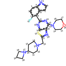 Fc1ccc2[nH]ccc2c1-c1nc(N2CCOCC2)c2nc(CN3CCC(N4CCC4)CC3)sc2n1